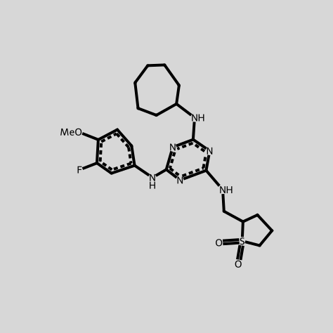 COc1ccc(Nc2nc(NCC3CCCS3(=O)=O)nc(NC3CCCCCC3)n2)cc1F